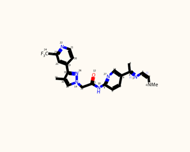 CN/C=C\N=C(/C)c1ccc(NC(=O)Cn2cc(C)c(-c3ccnc(C(F)(F)F)c3)n2)nc1